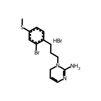 Br.CSc1ccc(CCCN2CC=CN=C2N)c(Br)c1